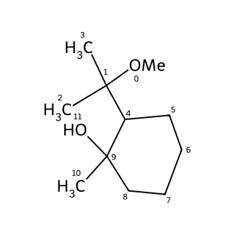 COC(C)(C)C1CCCCC1(C)O